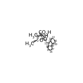 CC#CC[C@H](C)[C@H](NC(=O)OCC1c2ccccc2-c2ccccc21)C(=O)O